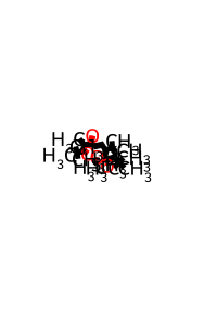 COc1c(O[SiH3])c(/C=C/C(=O)C(C)C(=O)C(C)(C)C)c(C)c(C)c1C(C)(C)C